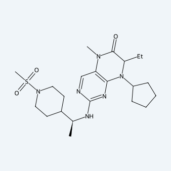 CCC1C(=O)N(C)c2cnc(N[C@@H](C)C3CCN(S(C)(=O)=O)CC3)nc2N1C1CCCC1